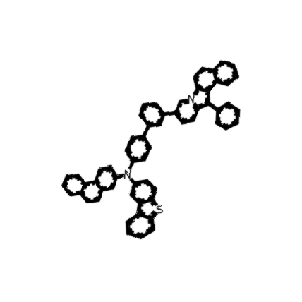 c1ccc(-c2c3c4ccccc4ccc3n3cc(-c4cccc(-c5ccc(N(c6ccc7c(ccc8ccccc87)c6)c6ccc7sc8ccccc8c7c6)cc5)c4)ccc23)cc1